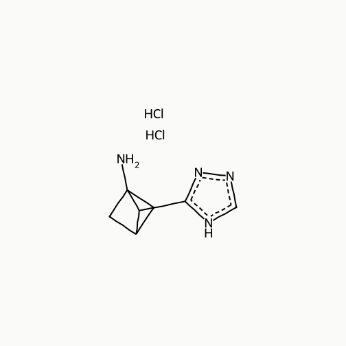 Cl.Cl.NC12CC(C1)C2c1nnc[nH]1